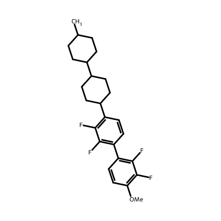 COc1ccc(-c2ccc(C3CCC(C4CCC(C)CC4)CC3)c(F)c2F)c(F)c1F